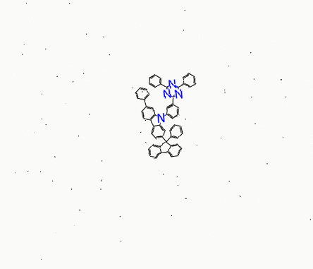 c1ccc(-c2ccc3c4ccc(C5(c6ccccc6)c6ccccc6-c6ccccc65)cc4n(-c4cccc(-c5nc(-c6ccccc6)nc(-c6ccccc6)n5)c4)c3c2)cc1